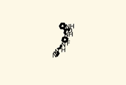 O=C1Nc2ccccc2C1=CNc1ccc(NCCCn2ccnc2)c(F)c1